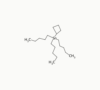 CCCC[CH2][Sn]([CH2]CCCC)([CH2]CCCC)[CH]1CCC1